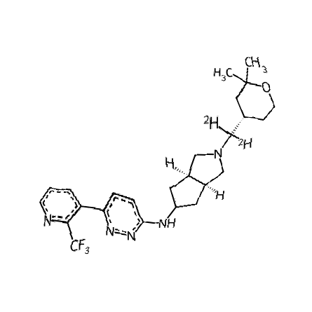 [2H]C([2H])([C@H]1CCOC(C)(C)C1)N1C[C@H]2CC(Nc3ccc(-c4cccnc4C(F)(F)F)nn3)C[C@H]2C1